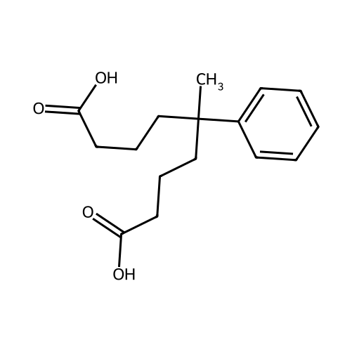 CC(CCCC(=O)O)(CCCC(=O)O)c1ccccc1